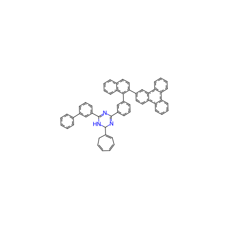 C1=CC=C(C2N=C(c3cccc(-c4c(-c5ccc6c7ccccc7c7ccccc7c6c5)ccc5ccccc45)c3)N=C(c3cccc(-c4ccccc4)c3)N2)CC=C1